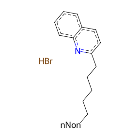 Br.CCCCCCCCCCCCCCc1ccc2ccccc2n1